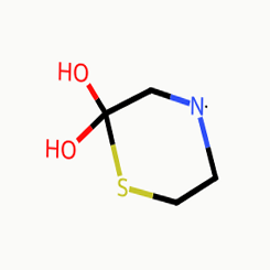 OC1(O)C[N]CCS1